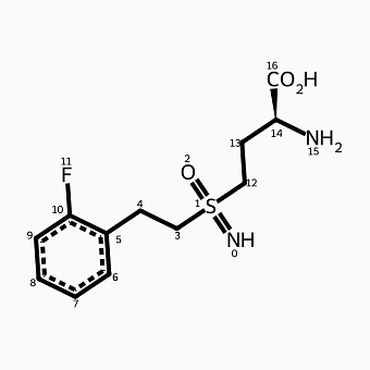 N=S(=O)(CCc1ccccc1F)CC[C@H](N)C(=O)O